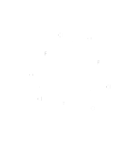 O=C(Cl)c1c(F)c(C(=O)Cl)c(F)c(C(=O)Cl)c1F